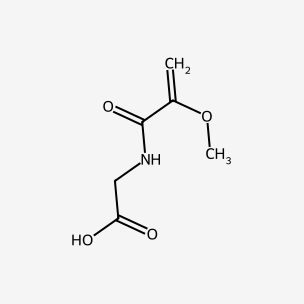 C=C(OC)C(=O)NCC(=O)O